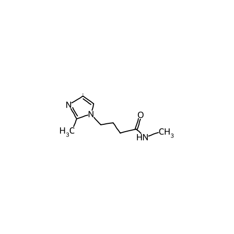 CNC(=O)CCCn1c[c]nc1C